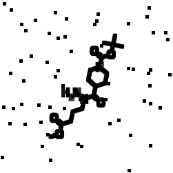 COC(=O)CCCN(N)C(=O)C1CCN(C(=O)OC(C)(C)C)CC1